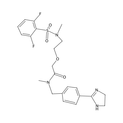 CN(Cc1ccc(C2=NCCN2)cc1)C(=O)COCCN(C)S(=O)(=O)c1c(F)cccc1F